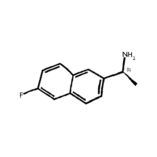 C[C@H](N)c1ccc2cc(F)ccc2c1